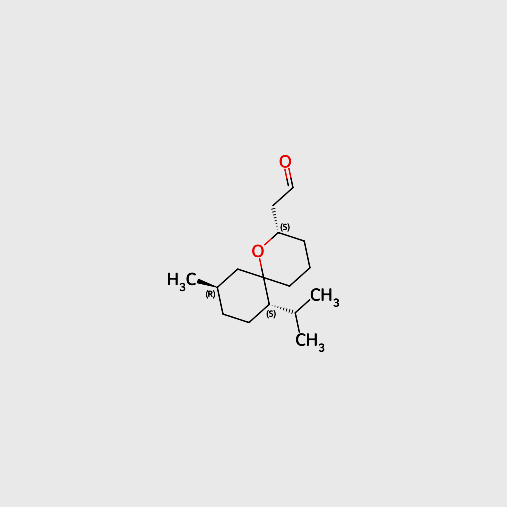 CC(C)[C@@H]1CC[C@@H](C)CC12CCC[C@@H](CC=O)O2